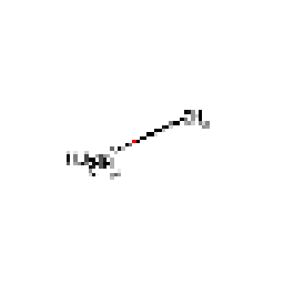 CCCCCCCCCCCCCCCCCCCCCCCCCC(N)(N)CC